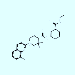 CCNC(=O)[C@H]1CCC[C@H](NC(=O)[C@H]2CCN(c3ccc4cccc(C)c4n3)CC2(C)C)C1